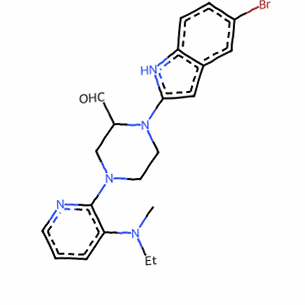 CCN(C)c1cccnc1N1CCN(c2cc3cc(Br)ccc3[nH]2)C(C=O)C1